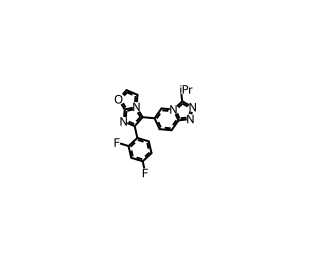 CC(C)c1nnc2ccc(-c3c(-c4ccc(F)cc4F)nc4occn34)cn12